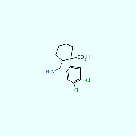 NC[C@@H]1CCCCC1(C(=O)O)c1ccc(Cl)c(Cl)c1